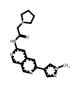 Cn1cc(-c2cc3cc(NC(=O)CN4CCCC4)ncc3cn2)cn1